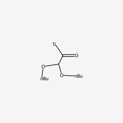 CCCCOC(OCCCC)[C](=O)[Ti]